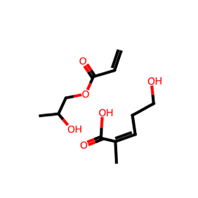 C=CC(=O)OCC(C)O.CC(=CCCO)C(=O)O